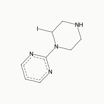 IC1CNCCN1c1ncccn1